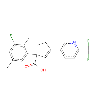 Cc1cc(F)c(C)c(C2(C(=O)O)C=C(c3ccc(C(F)(F)F)nc3)CC2)c1